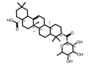 CC1O[C@@H](C(=O)[C@@H]2CC[C@@]3(C)C(CC[C@]4(C)C3CC=C3C5CC(C)(C)CC[C@]5(C(=O)O)CC[C@]34C)C2(C)C)[C@@H](O)C(O)[C@H]1O